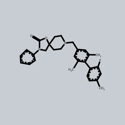 Cc1ccc(-c2c(C)cc(CN3CCC4(CC3)CN(c3ccccc3)C(=O)O4)cc2C)c(F)c1